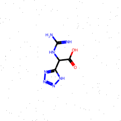 N=C(N)NC(C(=O)O)c1nnn[nH]1